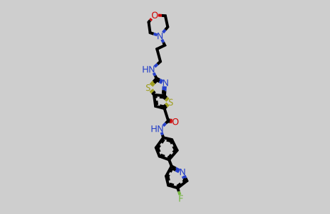 O=C(Nc1ccc(-c2ccc(F)cn2)cc1)c1cc2sc(NCCCN3CCOCC3)nc2s1